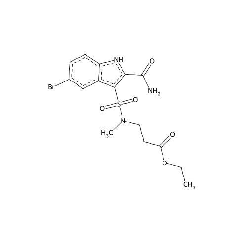 CCOC(=O)CCN(C)S(=O)(=O)c1c(C(N)=O)[nH]c2ccc(Br)cc12